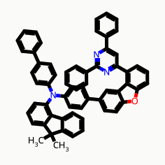 CC1(C)c2ccccc2-c2c(N(c3ccc(-c4ccccc4)cc3)c3ccc(-c4ccc5oc6cccc(-c7cc(-c8ccccc8)nc(-c8ccccc8)n7)c6c5c4)cc3)cccc21